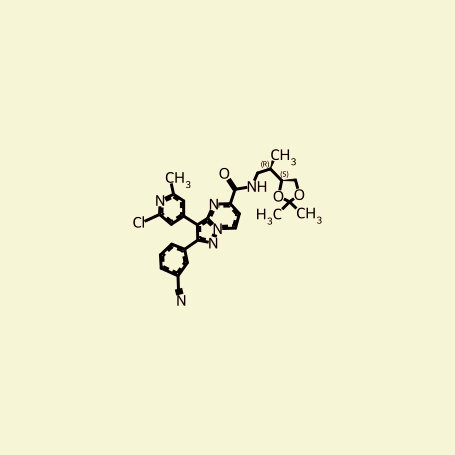 Cc1cc(-c2c(-c3cccc(C#N)c3)nn3ccc(C(=O)NC[C@@H](C)[C@H]4COC(C)(C)O4)nc23)cc(Cl)n1